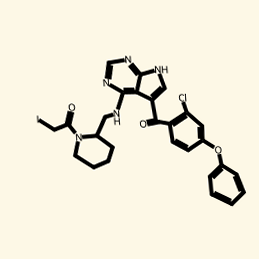 O=C(c1ccc(Oc2ccccc2)cc1Cl)c1c[nH]c2ncnc(NCC3CCCCN3C(=O)CI)c12